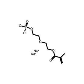 C=C(C)C(=O)OCCOCCOP(=O)([O-])[O-].[Na+].[Na+]